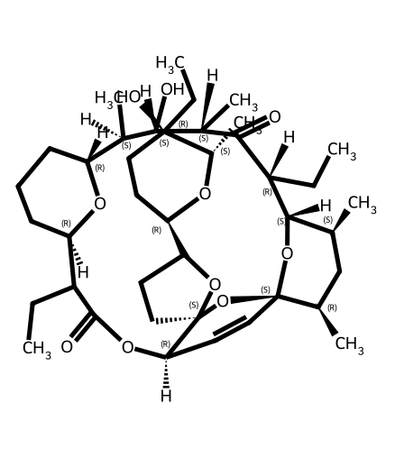 CCC1C(=O)O[C@@H]2C=C[C@@]3(O[C@@H]([C@@H](C)C[C@H]3C)[C@@H](CC)C(=O)[C@@H](C)[C@@H](O)[C@H](C)[C@H]3CCC[C@H]1O3)O[C@@]21CCC([C@H]2CC[C@](O)(CC)[C@H](C)O2)O1